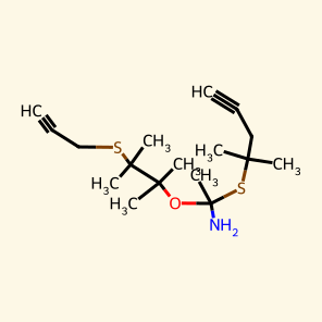 C#CCSC(C)(C)C(C)(C)OC(C)(N)SC(C)(C)CC#C